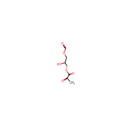 CC(=O)C(=O)OCC(O)COC=O